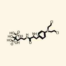 N[C@@H](Cc1ccc(N(CCCl)CCCl)cc1)C(=O)NCCCC(O)(P(=O)(O)O)P(=O)(O)O